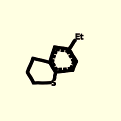 CCc1ccc2c(c1)CCCS2